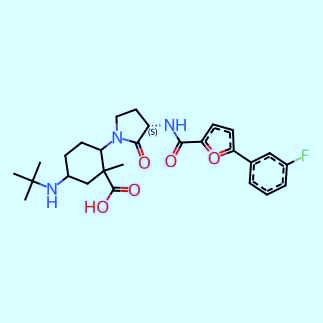 CC(C)(C)NC1CCC(N2CC[C@H](NC(=O)c3ccc(-c4cccc(F)c4)o3)C2=O)C(C)(C(=O)O)C1